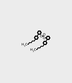 CCCCCCc1ccc(-c2ccccc2OC(=O)Oc2ccccc2-c2ccc(CCCCCC)cc2)cc1